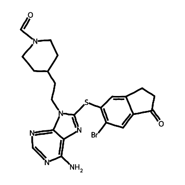 Nc1ncnc2c1nc(Sc1cc3c(cc1Br)C(=O)CC3)n2CCC1CCN(C=O)CC1